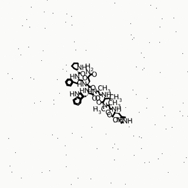 CC(C)[C@H](NC(=O)[C@H](C)NC(=O)[C@H](Cc1c[nH]c2ccccc12)NC(=O)[C@H](CCC(N)=O)NC(=O)[C@@H](Cc1ccccc1)NC(=O)[C@@H]1CCCCN1)C(=O)N(C)CC(=O)N[C@@H](Cc1c[nH]cn1)C(=O)O